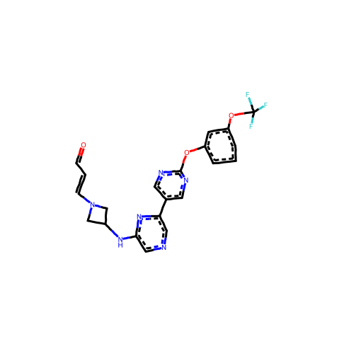 O=CC=CN1CC(Nc2cncc(-c3cnc(Oc4cccc(OC(F)(F)F)c4)nc3)n2)C1